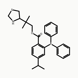 CC(C)c1ccc(C(=O)OCC(C)(C)C2CSCN2)c(P(c2ccccc2)c2ccccc2)c1